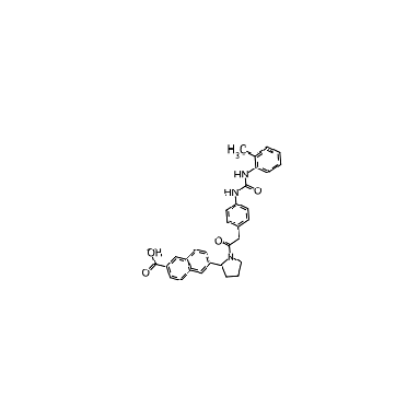 Cc1ccccc1NC(=O)Nc1ccc(CC(=O)N2CCCC2c2ccc3cc(C(=O)O)ccc3c2)cc1